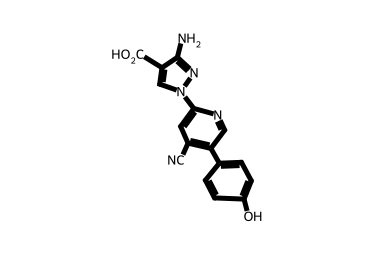 N#Cc1cc(-n2cc(C(=O)O)c(N)n2)ncc1-c1ccc(O)cc1